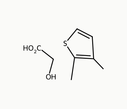 Cc1ccsc1C.O=C(O)CO